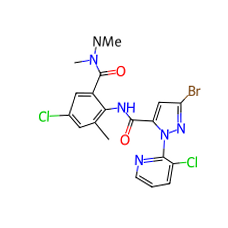 CNN(C)C(=O)c1cc(Cl)cc(C)c1NC(=O)c1cc(Br)nn1-c1ncccc1Cl